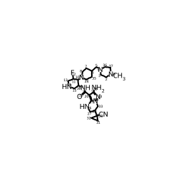 CN1CCN(CC2CCN(C3C(F)CNCC3NC(=O)c3c(N)nn4c3NCC(C3(C#N)CC3)C4)CC2)CC1